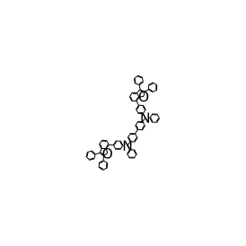 c1ccc(-c2oc3c(-c4ccc(N(c5ccccc5)c5ccc(-c6ccc(N(c7ccccc7)c7ccc(-c8cccc9c(-c%10ccccc%10)c(-c%10ccccc%10)oc89)cc7)cc6)cc5)cc4)cccc3c2-c2ccccc2)cc1